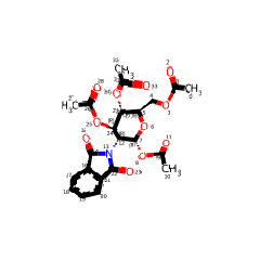 CC(=O)OC[C@H]1O[C@H](OC(C)=O)[C@H](N2C(=O)c3ccccc3C2=O)[C@@H](OC(C)=O)[C@@H]1OC(C)=O